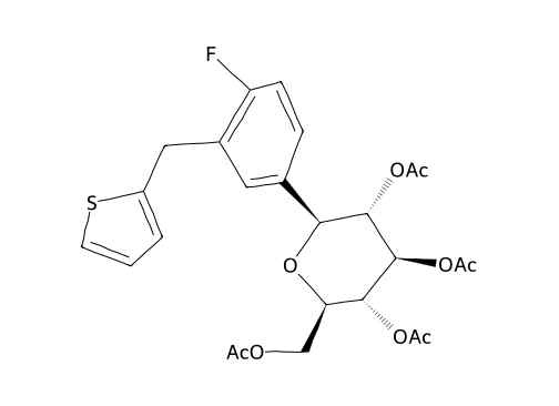 CC(=O)OC[C@H]1O[C@@H](c2ccc(F)c(Cc3cccs3)c2)[C@H](OC(C)=O)[C@@H](OC(C)=O)[C@@H]1OC(C)=O